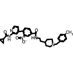 Cc1ccc(CN2CCC(CCNC(=O)c3ccc(-c4ccnc(NC(=O)C5CC5)c4)c([N+](=O)[O-])c3)CC2)cc1